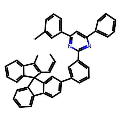 C/C=C\C1=C(C)c2ccccc2C12c1ccccc1-c1ccc(-c3cccc(-c4nc(-c5ccccc5)cc(-c5cccc(C)c5)n4)c3)cc12